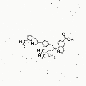 Cn1ccc2cc(-c3ccc(CN(CCC(C)(C)C)c4nccc5cc(C(=O)O)ccc45)cc3)cnc21